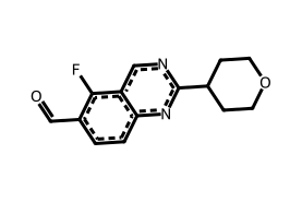 O=Cc1ccc2nc(C3CCOCC3)ncc2c1F